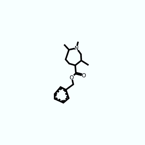 CC1CN(C)C(C)CCC1C(=O)OCc1ccccc1